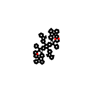 CC1(C)c2ccccc2-c2ccc(-c3c4cc5c(-c6ccccc6)c(-c6ccccc6)n(-c6ccc7c(c6)C(c6ccccc6)(c6ccccc6)c6ccccc6-7)c5cc4c(-c4ccc5c(c4)C(C)(C)c4ccccc4-5)c4cc5c(-c6ccccc6)c(-c6ccccc6)n(-c6ccc7c(c6)C(c6ccccc6)(c6ccccc6)c6ccccc6-7)c5cc34)cc21